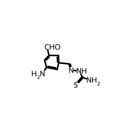 NC(=S)NN=Cc1cc(N)cc(C=O)c1